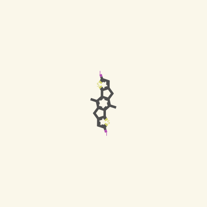 Cc1c2c(c(C)c3c1-c1sc(I)cc1C3)-c1sc(I)cc1C2